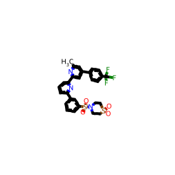 Cc1cc(-c2ccc(C(F)(F)F)cc2)cc(-c2cccc(-c3cccc(S(=O)(=O)N4CCS(=O)(=O)CC4)c3)n2)n1